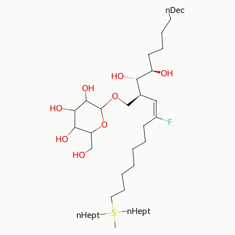 CCCCCCCCCCCCCC[C@@H](O)[C@@H](O)[C@@H](/C=C(/F)CCCCCCCS(C)(CCCCCCC)CCCCCCC)COC1OC(CO)C(O)C(O)C1O